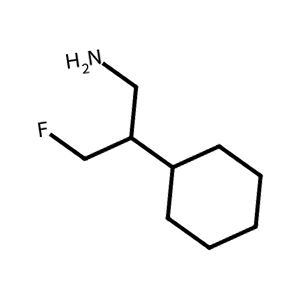 NCC(CF)C1CCCCC1